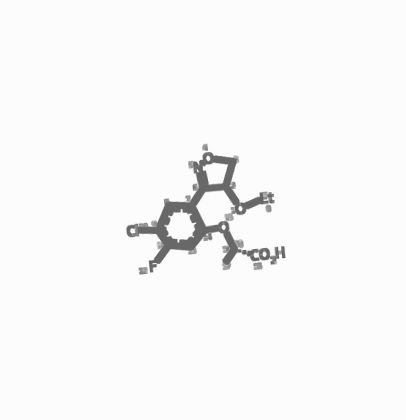 CCOC1CON=C1c1cc(Cl)c(F)cc1O[C@@H](C)C(=O)O